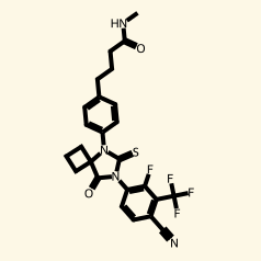 CNC(=O)CCCc1ccc(N2C(=S)N(c3ccc(C#N)c(C(F)(F)F)c3F)C(=O)C23CCC3)cc1